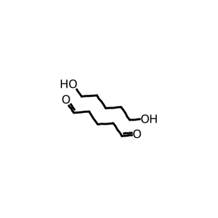 O=CCCCC=O.OCCCCCO